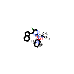 CC(C)(C)OC(=O)N1[C@@H]2CC[C@H]1C[C@@H](Nc1ncc(Cl)c(C3=CCc4ccccc43)n1)C2